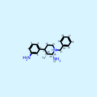 C[C@@H]1C(c2cccc(N)c2)CCN(Cc2ccccc2)[C@@H]1N